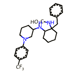 O=C(O)NC1(Cc2ccccc2)CCCCC1NC1CCCN(c2ccc(C(F)(F)F)cc2)C1